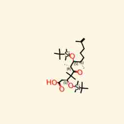 C=C(C)CCC[C@H](C)[C@H](O[Si](C)(C)C(C)(C)C)[C@@H](C)C(=O)C(C)(C)[C@H](CC(=O)O)O[Si](C)(C)C(C)(C)C